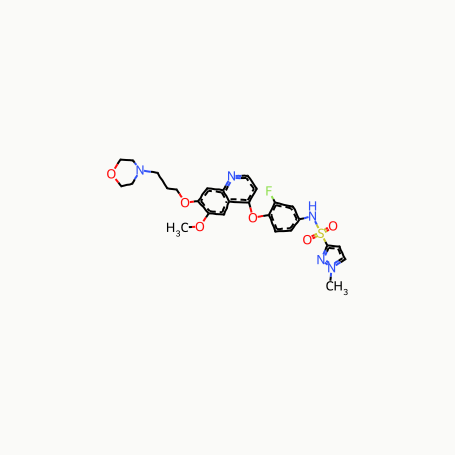 COc1cc2c(Oc3ccc(NS(=O)(=O)c4ccn(C)n4)cc3F)ccnc2cc1OCCCN1CCOCC1